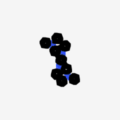 C1=CCC2C(=C1)C1=c3c(c4cc5c(cc4n32)c2ccc(N(c3ccccc3)c3ccccc3)c3c4ccccc4n5c23)=CCC1N(c1ccccc1)c1ccccc1